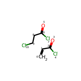 C=CC(=O)Cl.O=C(Cl)CCCl